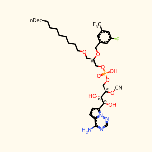 CCCCCCCCCCCCCCCCCCOC[C@H](COP(=O)(O)OC[C@@H](OC#N)[C@@H](O)[C@@H](O)c1ccc2c(N)ncnn12)OCc1cc(F)cc(C(F)(F)F)c1